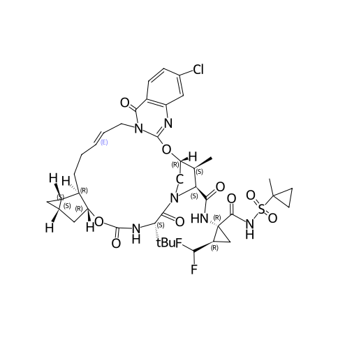 C[C@@H]1[C@@H]2CN(C(=O)[C@H](C(C)(C)C)NC(=O)O[C@@H]3C[C@@H]4C[C@@H]4[C@H]3CC/C=C/Cn3c(nc4cc(Cl)ccc4c3=O)O2)[C@@H]1C(=O)N[C@]1(C(=O)NS(=O)(=O)C2(C)CC2)C[C@H]1C(F)F